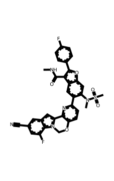 CNC(=O)c1c(-c2ccc(F)cc2)oc2cc(N(C)S(C)(=O)=O)c(-c3ccc4c(n3)-c3cc5cc(C#N)cc(F)c5n3CO4)cc12